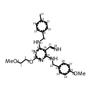 COCCOc1nc(NCc2ccc(C)cc2)c(C=N)c(NCc2ccc(OC)cc2)n1